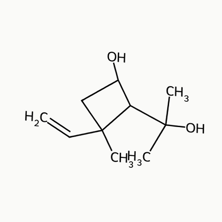 C=CC1(C)CC(O)C1C(C)(C)O